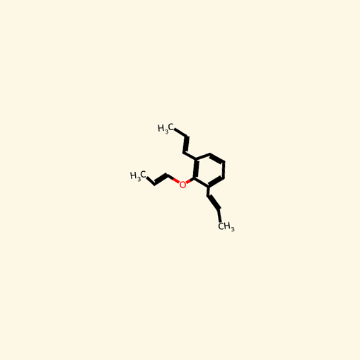 C/C=C/Oc1c(/C=C/C)cccc1/C=C/C